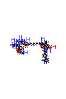 CNC(=O)c1cnc(Nc2ccc(C(=O)NCCCCCCCCC(=O)N[C@H](C(=O)N3C[C@H](O)C[C@H]3C(=O)NCc3ccc(-c4scnc4C)cc3)C(C)(C)C)cn2)cc1Nc1cccc(C(=O)NC)c1OC